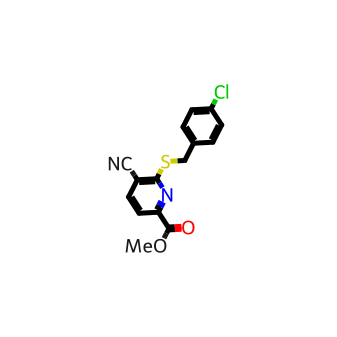 COC(=O)c1ccc(C#N)c(SCc2ccc(Cl)cc2)n1